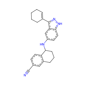 N#Cc1ccc2c(c1)CCCC2Nc1ccc2[nH]nc(C3=CCCCC3)c2c1